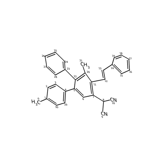 Cc1ccc(-c2cc(C(C#N)C#N)c(C=Cc3ccccc3)c(C)c2-c2ccccc2)cc1